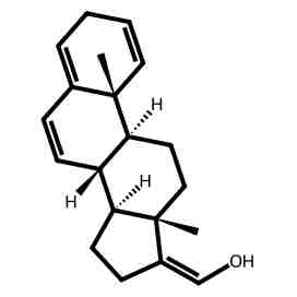 C[C@]12C=CCC=C1C=C[C@@H]1[C@@H]2CC[C@]2(C)/C(=C\O)CC[C@@H]12